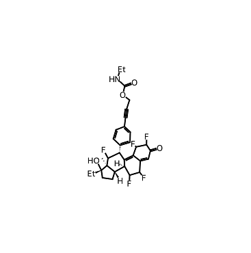 CCNC(=O)OCC#Cc1ccc([C@@H]2C3=C4C(=CC(=O)C(F)C4F)C(F)C(F)[C@H]3[C@@H]3CC[C@@](O)(CC)[C@@]3(C)C2F)cc1